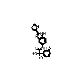 CC(C)C(O)(C(=O)Nc1ccc2[nH]c(-c3cscn3)nc2c1)c1cccc(Cl)c1